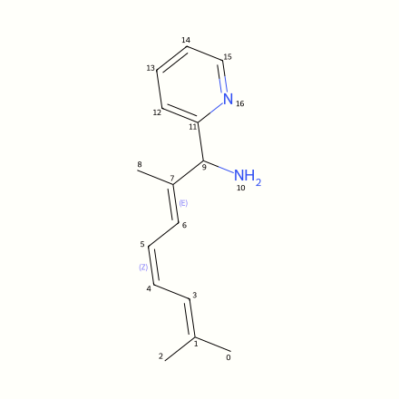 CC(C)=C/C=C\C=C(/C)C(N)c1ccccn1